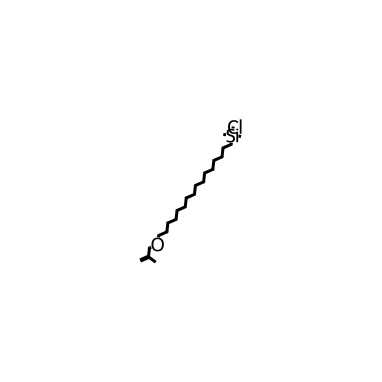 C=C(C)COCCCCCCCCCCCCCCCC[Si](C)(C)Cl